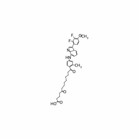 COc1ccc(C2=CN=C3C(Nc4ccc(C(=O)CCCCCCCC(=O)CCCC(=O)O)c(C)c4)=CC=CC23)c(F)c1F